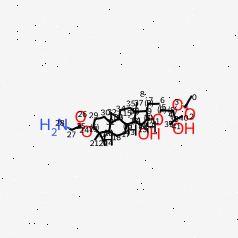 CC(=O)O[C@@H]([C@H]1C[C@@H](C)C2[C@H](O1)[C@H](O)[C@@]1(C)[C@@H]3CC[C@H]4C(C)(C)[C@@H](OC(=O)CN)CCC45C[C@@]35CC[C@]21C)C(C)(C)O